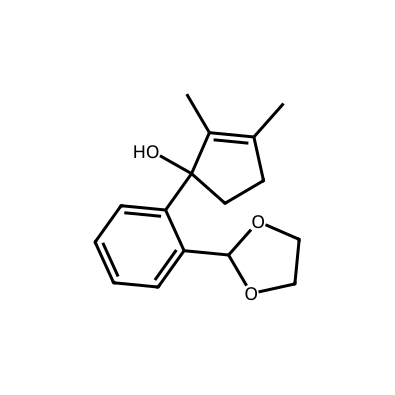 CC1=C(C)C(O)(c2ccccc2C2OCCO2)CC1